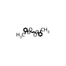 CCc1ccccc1OC(=O)C=CC(=O)Oc1ccccc1CC